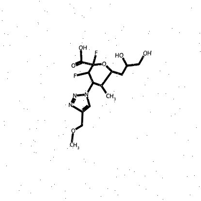 COCc1cn(C2C(C)C(CC(O)CO)OC(F)(C(=O)O)C2F)nn1